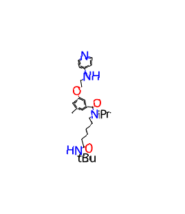 Cc1cc(OCCNc2ccncc2)cc(C(=O)N(CCCCCC(=O)NC(C)(C)C)C(C)C)c1